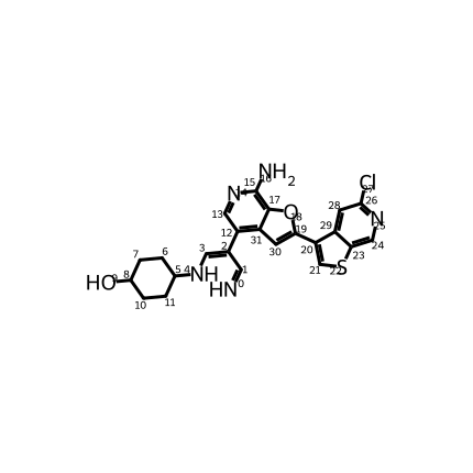 N=C/C(=C\NC1CCC(O)CC1)c1cnc(N)c2oc(-c3csc4cnc(Cl)cc34)cc12